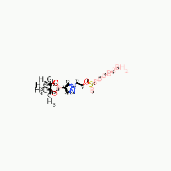 B#S(=BB=BB=BB)OCCn1cc(B2OC(C)(C)C(C)(C)O2)cn1